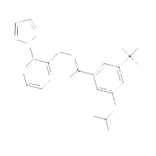 C[C@H](NC(=O)c1cc(OC(F)F)cc(C(F)(F)F)c1)c1nccnc1-n1nccn1